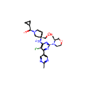 Cc1ncc(-c2nc(N3CCOC[C@@H]3C)nc(N[C@@]3(CO)CCN(C(=O)C4CC4)C3)c2F)cn1